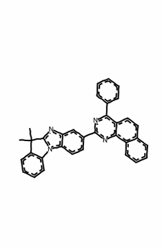 CC1(C)c2ccccc2-n2c1nc1cc(-c3nc(-c4ccccc4)c4ccc5ccccc5c4n3)ccc12